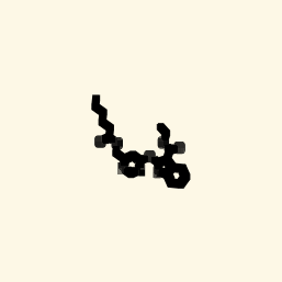 CCCCCC(=O)OCc1cc(Oc2sc3ccccc3c2C(=O)OCC)ncn1